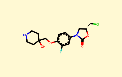 O=C1O[C@@H](CCl)CN1c1ccc(OCC2(O)CCNCC2)c(F)c1